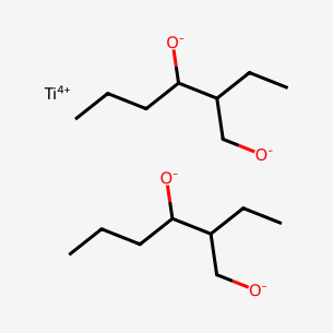 CCCC([O-])C(CC)C[O-].CCCC([O-])C(CC)C[O-].[Ti+4]